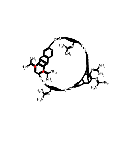 NC(N)=CC1=C(N=C(N)N)C2c3ccc4cc3C1c1ccc(cc12)OCc1ccc(c(N=C(N)N)c1)COc1ccc2c(c1)C1C(N=C(N)N)=C(N=C(N)N)C2C2C=C(C=CC12)OCc1ccc(c(N=C(N)N)c1)CO4